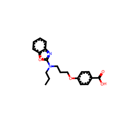 CCCN(CCCOc1ccc(C(=O)O)cc1)c1nc2ccccc2o1